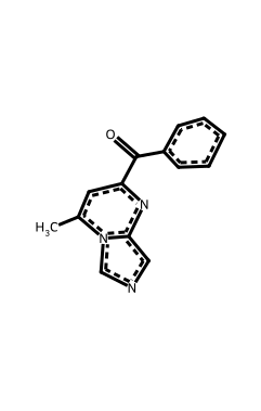 Cc1cc(C(=O)c2ccccc2)nc2cncn12